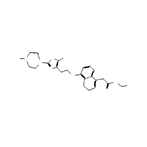 CCOC(=O)CC1=CCCc2c(OCCc3nc(N4CCN(C)CC4)sc3C)cccc21